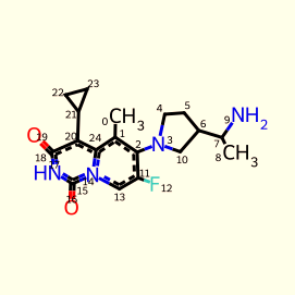 Cc1c(N2CCC(C(C)N)C2)c(F)cn2c(=O)[nH]c(=O)c(C3CC3)c12